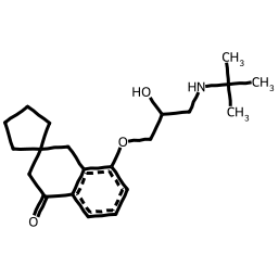 CC(C)(C)NCC(O)COc1cccc2c1CC1(CCCC1)CC2=O